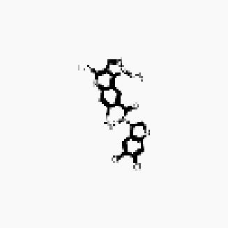 CN(C(=O)c1cc2c(cc1F)nc(N)c1cnn(C)c12)[C@H]1COc2cc(Cl)c(Cl)cc21